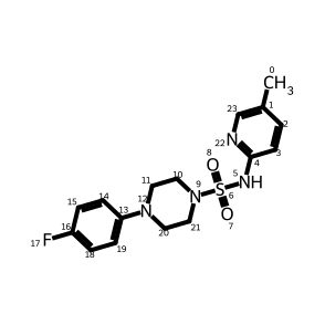 Cc1ccc(NS(=O)(=O)N2CCN(c3ccc(F)cc3)CC2)nc1